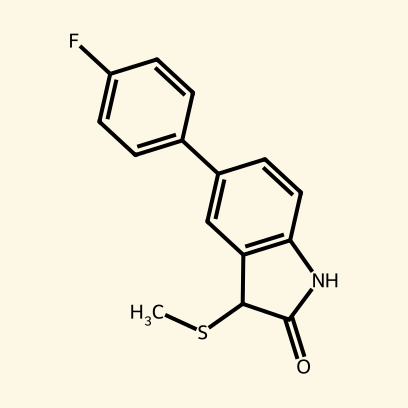 CSC1C(=O)Nc2ccc(-c3ccc(F)cc3)cc21